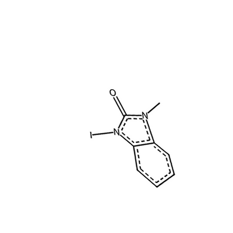 Cn1c(=O)n(I)c2ccccc21